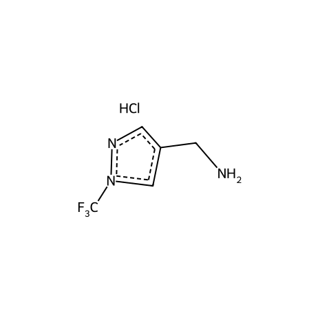 Cl.NCc1cnn(C(F)(F)F)c1